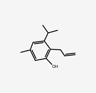 C=CCc1c(O)cc(C)cc1C(C)C